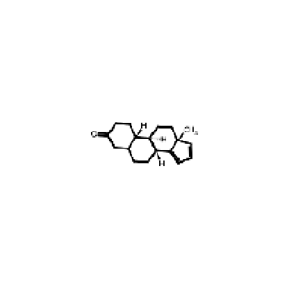 C[C@@]12C=CC=C1[C@@H]1CCC3CC(=O)CC[C@@H]3[C@H]1CC2